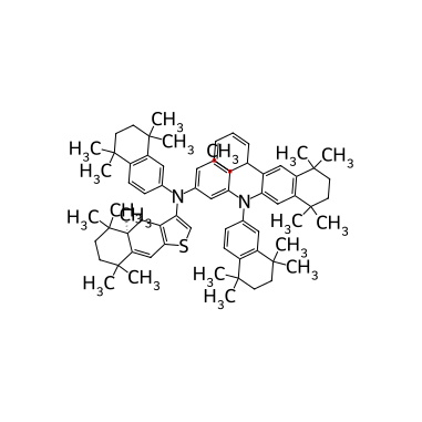 Cc1cc(N(c2ccc3c(c2)C(C)(C)CCC3(C)C)c2cc3c(cc2C2C=CC=CC2)C(C)(C)CCC3(C)C)cc(N(c2ccc3c(c2)C(C)(C)CCC3(C)C)c2csc3c2C[C@@]2(C)C(=C3)C(C)(C)CCC2(C)C)c1